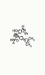 CC1CN(c2ccc(-n3c(C(=O)NC4CC4)nnc3-c3cc4c(C(C)C)n[nH]c4cc3O)cc2)CC(C)O1